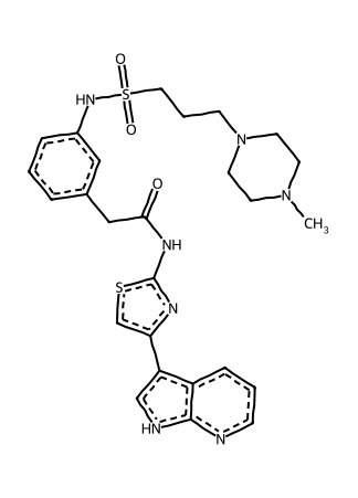 CN1CCN(CCCS(=O)(=O)Nc2cccc(CC(=O)Nc3nc(-c4c[nH]c5ncccc45)cs3)c2)CC1